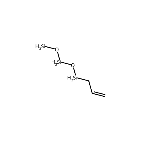 C=CC[SiH2]O[SiH2]O[SiH3]